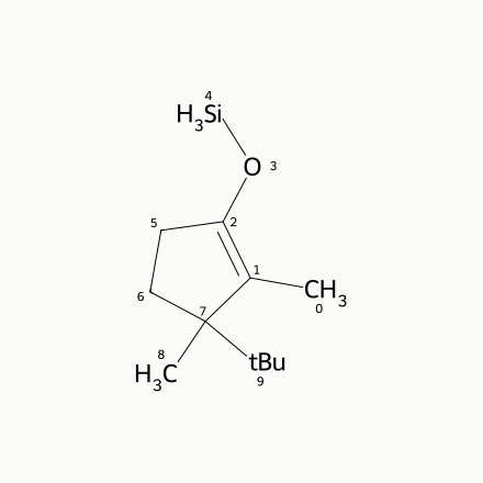 CC1=C(O[SiH3])CCC1(C)C(C)(C)C